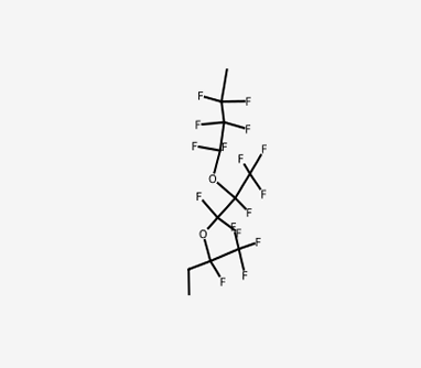 CCC(F)(OC(F)(F)C(F)(OC(F)(F)C(F)(F)C(C)(F)F)C(F)(F)F)C(F)(F)F